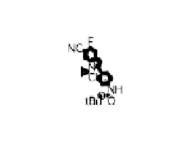 CC(C)(C)OC(=O)Nc1ccc(-c2cc3cc(F)c(C#N)cc3n2C2(C)CC2)cc1